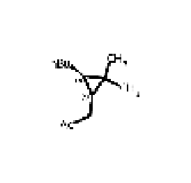 CCCC[C@@H]1[C@H](CC(C)=O)C1(C)C